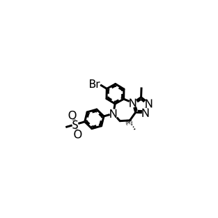 Cc1nnc2n1-c1ccc(Br)cc1N(c1ccc(S(C)(=O)=O)cc1)C[C@H]2C